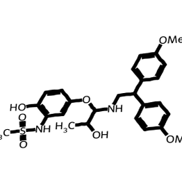 COc1ccc(C(CNC(Oc2ccc(O)c(NS(C)(=O)=O)c2)C(C)O)c2ccc(OC)cc2)cc1